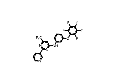 Fc1c(F)c(F)c(Oc2cccc(Nc3cc(C(F)(F)F)nc(-c4cccnc4)n3)c2)c(F)c1F